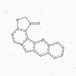 O=C1COc2ccn3cc4cc5ccccc5nc4c3c21